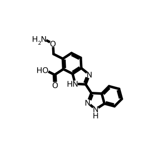 NOCc1ccc2nc(-c3n[nH]c4ccccc34)[nH]c2c1C(=O)O